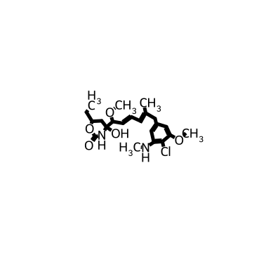 CCC1CC(O)(C(/C=C/C=C(\C)Cc2cc(NC)c(Cl)c(OC)c2)OC)NC(=O)O1